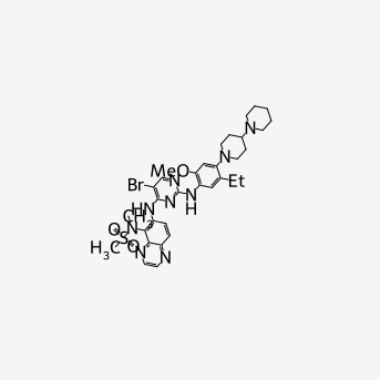 CCc1cc(Nc2ncc(Br)c(Nc3ccc4nccnc4c3N(C)S(C)(=O)=O)n2)c(OC)cc1N1CCC(N2CCCCC2)CC1